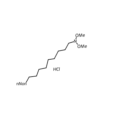 CCCCCCCCCCCCCCCCCCN(OC)OC.Cl